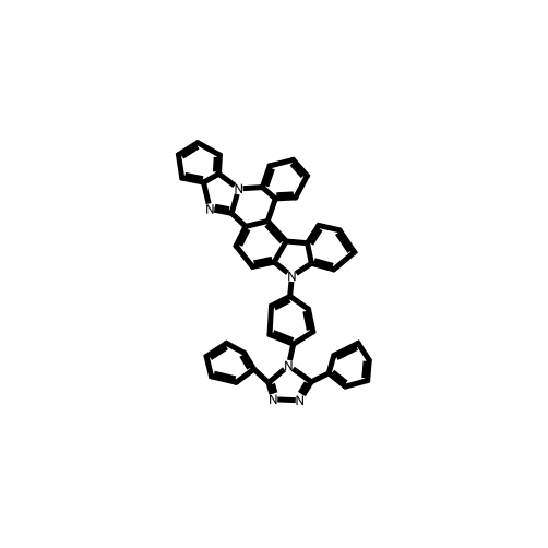 c1ccc(-c2nnc(-c3ccccc3)n2-c2ccc(-n3c4ccccc4c4c5c6ccccc6n6c7ccccc7nc6c5ccc43)cc2)cc1